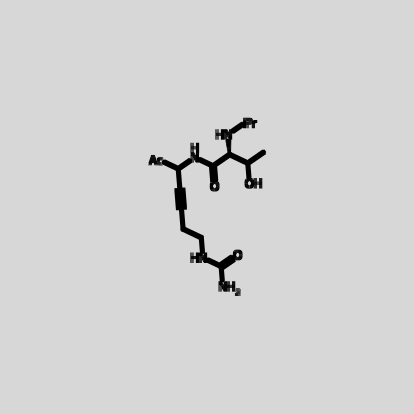 CC(=O)C(C#CCCNC(N)=O)NC(=O)[C@@H](NC(C)C)C(C)O